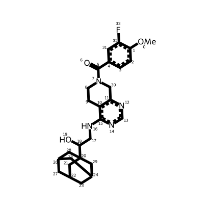 COc1ccc(C(=O)N2CCc3c(ncnc3NCC(O)C34CC5CC(CC(C5)C3)C4)C2)cc1F